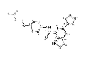 CN(C)CCOc1ccc(NC(=O)c2nc(-n3ccnc3)nc3cc[nH]c23)nc1